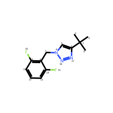 CC(C)(C)c1cn(Cc2c(F)cccc2F)nn1